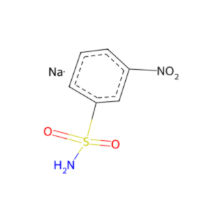 NS(=O)(=O)c1cccc([N+](=O)[O-])c1.[Na]